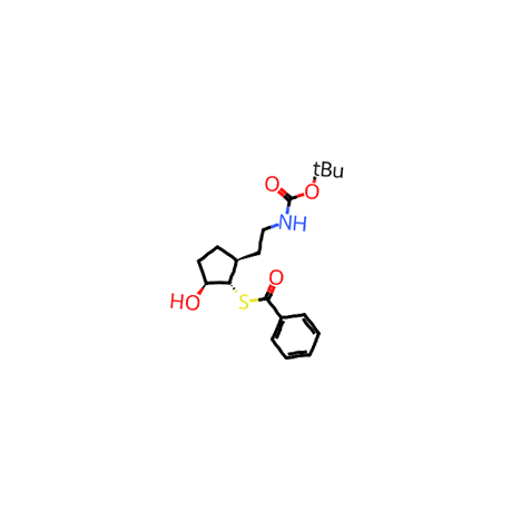 CC(C)(C)OC(=O)NCC[C@@H]1CC[C@H](O)[C@H]1SC(=O)c1ccccc1